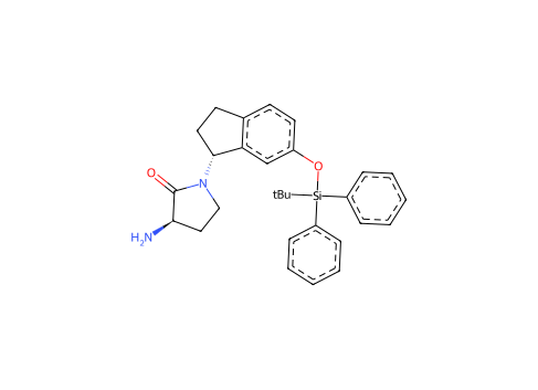 CC(C)(C)[Si](Oc1ccc2c(c1)[C@H](N1CC[C@@H](N)C1=O)CC2)(c1ccccc1)c1ccccc1